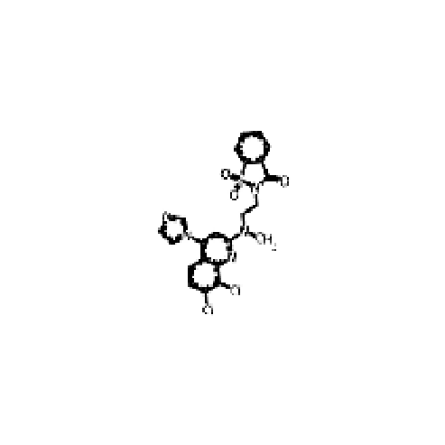 CN(CCN1C(=O)c2ccccc2S1(=O)=O)c1cc(-n2ccnc2)c2ccc(Cl)c(Cl)c2n1